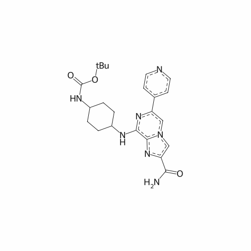 CC(C)(C)OC(=O)NC1CCC(Nc2nc(-c3ccncc3)cn3cc(C(N)=O)nc23)CC1